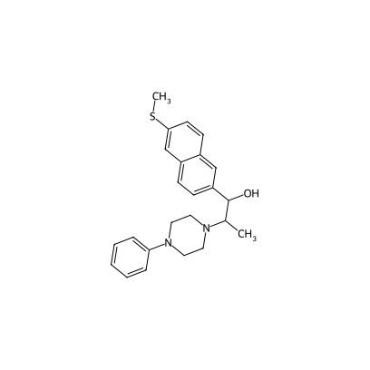 CSc1ccc2cc(C(O)C(C)N3CCN(c4ccccc4)CC3)ccc2c1